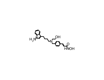 Nn1cc(CCCCN(CCO)Cc2ccc(/C=C/C(=O)NO)cc2)c2ccccc21